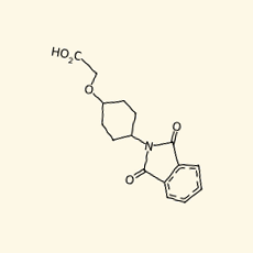 O=C(O)COC1CCC(N2C(=O)c3ccccc3C2=O)CC1